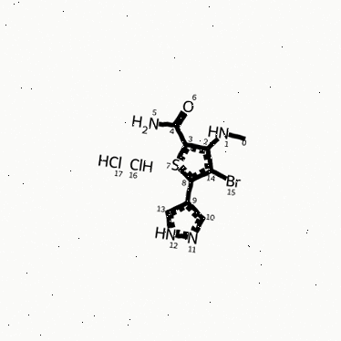 CNc1c(C(N)=O)sc(-c2cn[nH]c2)c1Br.Cl.Cl